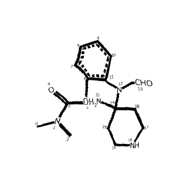 CN(C)C(=O)Oc1ccccc1N(C=O)C1(N)CCNCC1